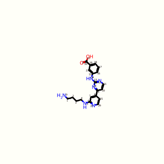 NCCCCNc1cc(-c2ccnc(Nc3cccc(C(=O)O)c3)n2)ccn1